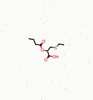 CCCC(=O)OC(CSCC)C(=O)O